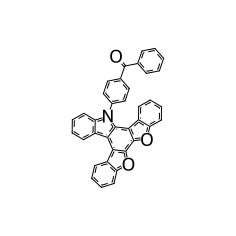 O=C(c1ccccc1)c1ccc(-n2c3ccccc3c3c4c5ccccc5oc4c4oc5ccccc5c4c32)cc1